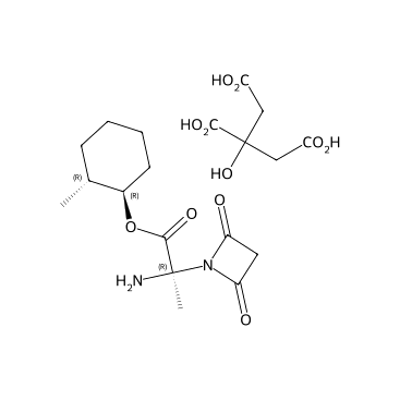 C[C@@H]1CCCC[C@H]1OC(=O)[C@](C)(N)N1C(=O)CC1=O.O=C(O)CC(O)(CC(=O)O)C(=O)O